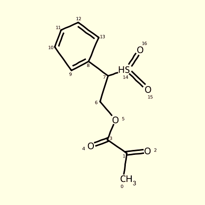 CC(=O)C(=O)OCC(c1ccccc1)[SH](=O)=O